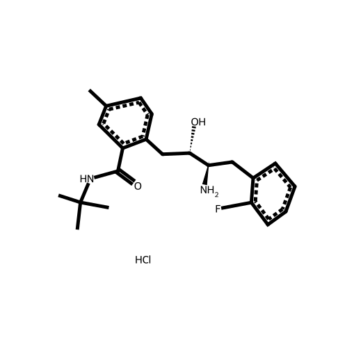 Cc1ccc(C[C@H](O)[C@H](N)Cc2ccccc2F)c(C(=O)NC(C)(C)C)c1.Cl